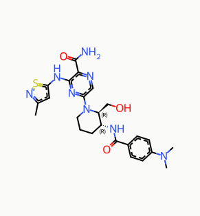 Cc1cc(Nc2nc(N3CCC[C@@H](NC(=O)c4ccc(N(C)C)cc4)[C@@H]3CO)cnc2C(N)=O)sn1